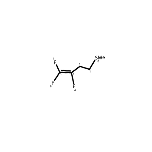 CSCCC(F)=C(F)F